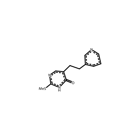 CSc1ncc(CCc2cccnc2)c(=O)[nH]1